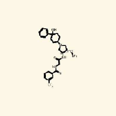 CCCO[C@H]1CN(C2CCC(O)(c3ccccc3)CC2)C[C@@H]1NC(=O)CNC(=O)c1cccc(C(F)(F)F)c1